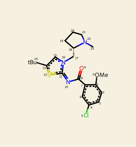 COc1ccc(Cl)cc1C(=O)N=c1sc(C(C)(C)C)cn1C[C@@H]1CCCN1C